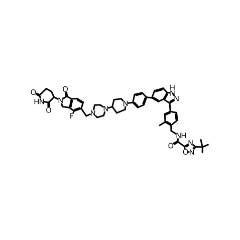 Cc1cc(-c2n[nH]c3ccc(-c4ccc(N5CCC(N6CCN(Cc7ccc8c(c7F)CN(C7CCC(=O)NC7=O)C8=O)CC6)CC5)cc4)cc23)ccc1CNC(=O)c1nc(C(C)(C)C)no1